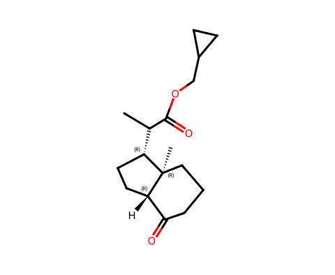 CC(C(=O)OCC1CC1)[C@H]1CC[C@H]2C(=O)CCC[C@]12C